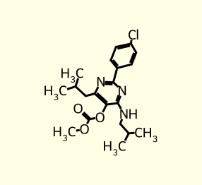 COC(=O)Oc1c(CC(C)C)nc(-c2ccc(Cl)cc2)nc1NCC(C)C